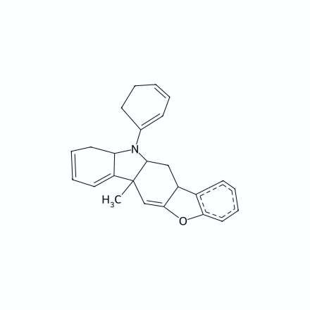 CC12C=C3Oc4ccccc4C3CC1N(C1=CC=CCC1)C1CC=CC=C12